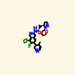 Cc1ccncc1-c1cc2cc(NC(=O)[C@@H]3C[C@H]3c3ccnn3C3CCCCO3)ncc2c(Cl)c1F